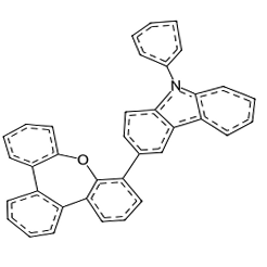 c1ccc(-n2c3ccccc3c3cc(-c4cccc5c4Oc4ccccc4-c4ccccc4-5)ccc32)cc1